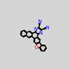 N#Cc1nc2c3cc4ccccc4cc3c3cc4oc5ccccc5c4cc3c2nc1C#N